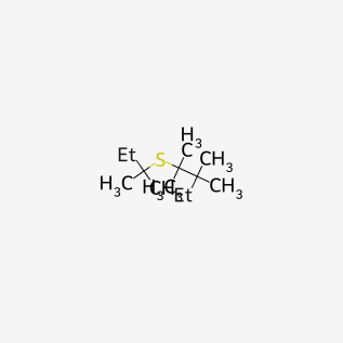 CCC(C)(C)SC(C)(C)C(C)(C)CC